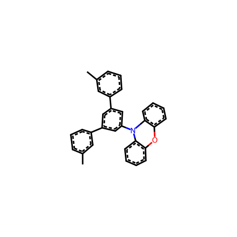 Cc1cccc(-c2cc(-c3cccc(C)c3)cc(N3c4ccccc4Oc4ccccc43)c2)c1